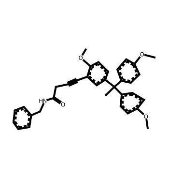 COc1ccc(C(C)(c2ccc(OC)cc2)c2ccc(OC)c(C#CCC(=O)NCc3ccccc3)c2)cc1